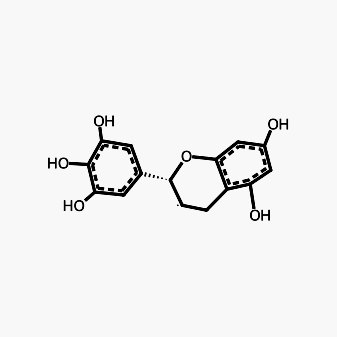 Oc1cc(O)c2c(c1)O[C@@H](c1cc(O)c(O)c(O)c1)[CH]C2